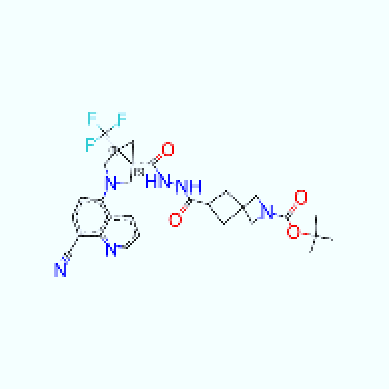 CC(C)(C)OC(=O)N1CC2(CC(C(=O)NNC(=O)[C@]34CN(c5ccc(C#N)c6ncccc56)C[C@@]3(C(F)(F)F)C4)C2)C1